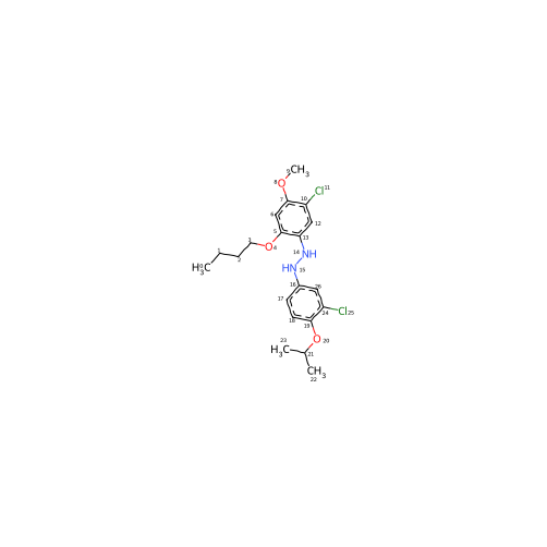 CCCCOc1cc(OC)c(Cl)cc1NNc1ccc(OC(C)C)c(Cl)c1